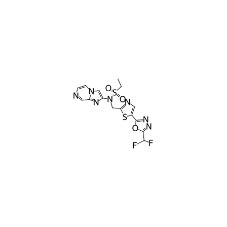 CCS(=O)(=O)N(Cc1ncc(-c2nnc(C(F)F)o2)s1)c1cn2ccncc2n1